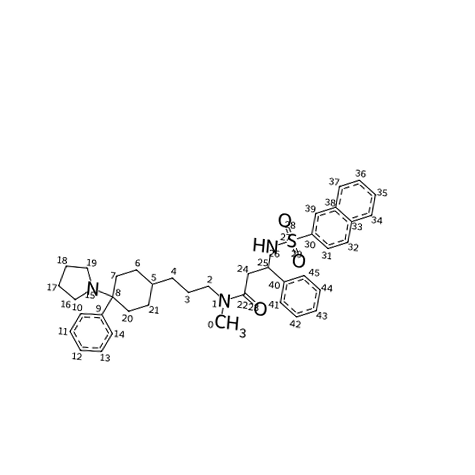 CN(CCCC1CCC(c2ccccc2)(N2CCCC2)CC1)C(=O)CC(NS(=O)(=O)c1ccc2ccccc2c1)c1ccccc1